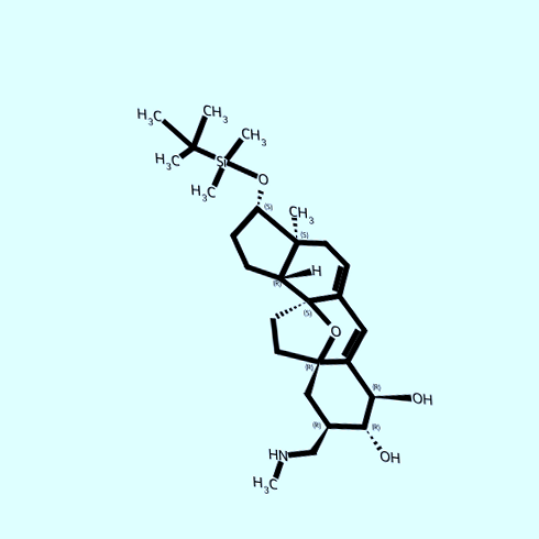 CNC[C@H]1C[C@@]23CC[C@@]4(O2)C(=CC[C@]2(C)[C@@H](O[Si](C)(C)C(C)(C)C)CC[C@H]24)C=C3[C@@H](O)[C@@H]1O